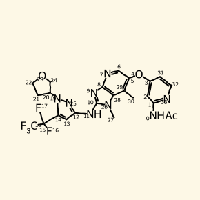 CC(=O)Nc1cc(Oc2cnc3nc(Nc4cc(C(F)(F)C(F)(F)F)n([C@H]5CCOC5)n4)n(C)c3c2C)ccn1